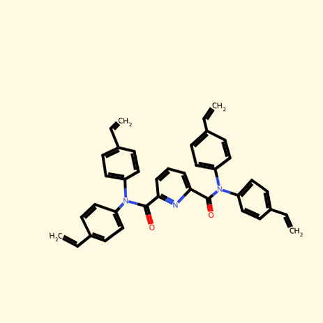 C=Cc1ccc(N(C(=O)c2cccc(C(=O)N(c3ccc(C=C)cc3)c3ccc(C=C)cc3)n2)c2ccc(C=C)cc2)cc1